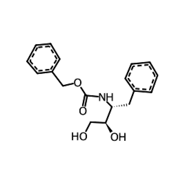 O=C(N[C@H](Cc1ccccc1)[C@@H](O)CO)OCc1ccccc1